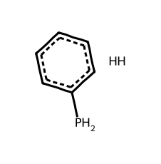 Pc1ccccc1.[HH]